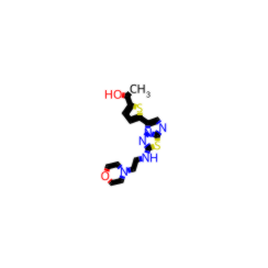 CC(O)c1ccc(-c2cnc3sc(NCCN4CCOCC4)nn23)s1